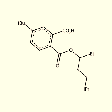 CCC(CCC(C)C)OC(=O)c1ccc(C(C)(C)C)cc1C(=O)O